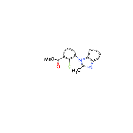 COC(=O)c1cccc(-n2c(C)nc3ccccc32)c1F